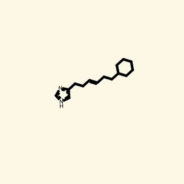 C(=C\CCC1CCCCC1)/CCc1c[nH]cn1